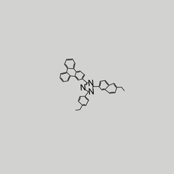 CCc1ccc(-c2nc(-c3ccc4cc(CC)ccc4c3)nc(-c3ccc4c5ccccc5c5ccccc5c4c3)n2)cc1